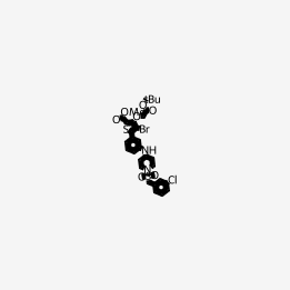 COC(=O)c1sc(-c2cccc(NC3CCN(S(=O)(=O)Cc4cccc(Cl)c4)CC3)c2)c(Br)c1OCC(=O)OC(C)(C)C